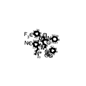 Cn1c(-c2ccnn2-c2ccc(C#N)cc2CC[N+](C)(C)C)c(C(=O)NC2CCCCC2)c(=O)n1-c1cccc(C(F)(F)F)c1.O=S(=O)([O-])c1ccccc1